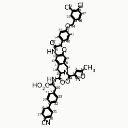 Cc1cc(C(=O)N2Cc3cc4c(cc3CC2C(=O)NC(Cc2ccc(-c3ccc(C#N)cc3)cc2)C(=O)O)NC(=O)C(c2ccc(OCc3ccc(Cl)c(Cl)c3)cc2)O4)no1